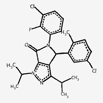 Cc1ccc(Cl)cc1C1c2c(C(C)C)nn(C(C)C)c2C(=O)N1c1cccc(Cl)c1F